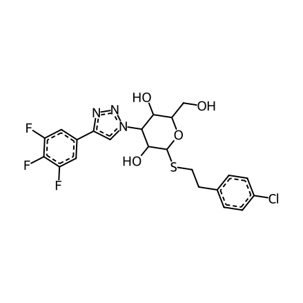 OCC1OC(SCCc2ccc(Cl)cc2)C(O)C(n2cc(-c3cc(F)c(F)c(F)c3)nn2)C1O